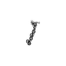 CCC1=C[C@@H](CSCCOCCOCCOCCC(=O)OC)C[C@@H](CC)C1